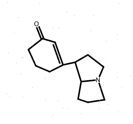 O=C1C=C(C2CCN3CCCC23)CCC1